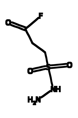 NNS(=O)(=O)CCC(=O)F